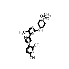 CS(=O)(=O)N1CCC(Nc2ncc(C(F)(F)F)c(-c3cn(-c4ccc(C#N)nc4C(F)(F)F)cn3)n2)CC1